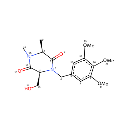 COc1cc(CN2C(=O)[C@H](C)N(C)C(=O)[C@@H]2CO)cc(OC)c1OC